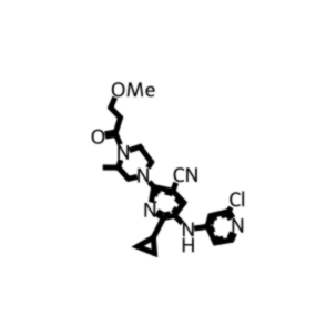 COCCC(=O)N1CCN(c2nc(C3CC3)c(Nc3ccnc(Cl)c3)cc2C#N)CC1C